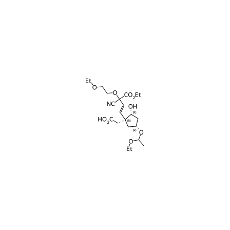 CCOCCOC(C#N)(C=C[C@]1(CC(=O)O)C[C@@H](OC(C)OCC)C[C@H]1O)C(=O)OCC